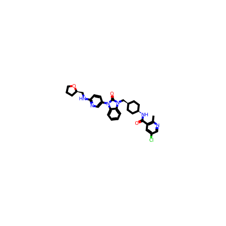 Cc1ncc(Cl)cc1C(=O)N[C@H]1CC[C@H](Cn2c(=O)n(-c3ccc(NC[C@H]4CCCO4)nc3)c3ccccc32)CC1